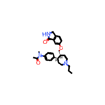 CCCN1CC[C@@H](COc2ccc3c(c2)C(=O)NC3)[C@H](c2ccc(N(C)C(C)=O)cc2)CC1